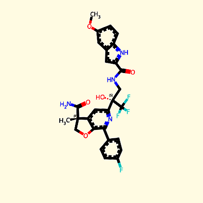 COc1ccc2[nH]c(C(=O)NC[C@](O)(c3cc4c(c(-c5ccc(F)cc5)n3)OC[C@]4(C)C(N)=O)C(F)(F)F)cc2c1